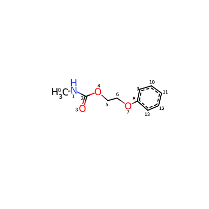 CNC(=O)OCCOc1ccccc1